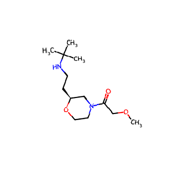 COCC(=O)N1CCO[C@@H](CCNC(C)(C)C)C1